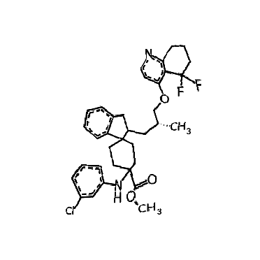 COC(=O)C1(Nc2cccc(Cl)c2)CCC2(CC1)c1ccccc1CC2C[C@@H](C)COc1ccnc2c1C(F)(F)CCC2